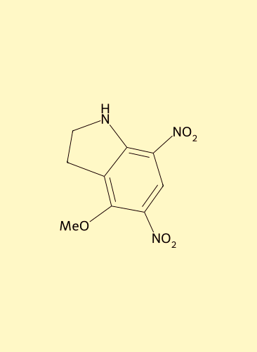 COc1c([N+](=O)[O-])cc([N+](=O)[O-])c2c1CCN2